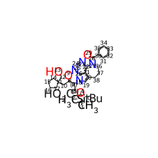 CC(C)(C)[Si](C)(C)O[C@H](C(=O)O)[C@H](C(=O)CC1(CO)CCCC1)n1cc2c3c(ncnc31)N(C(=O)c1ccccc1)CCC2